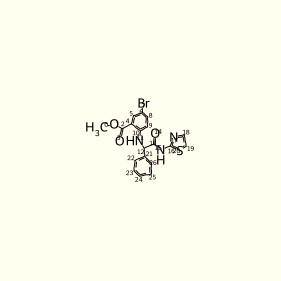 COC(=O)c1cc(Br)ccc1NC(C(=O)Nc1nccs1)c1ccccc1